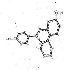 O=C(O)c1ccc2c(c1)nc(-c1ccc(F)cc1)c1ccncc12